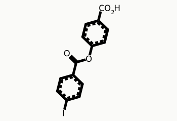 O=C(O)c1ccc(OC(=O)c2ccc(I)cc2)cc1